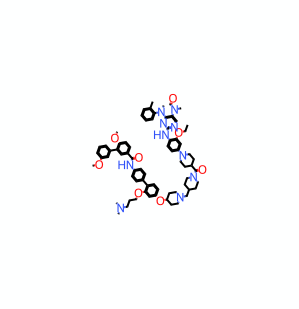 CCOc1cc(N2CCC(C(=O)N3CCC(CN4CCC(Oc5ccc(-c6ccc(NC(=O)c7ccc(OC)c(-c8cccc(OC)c8)c7)cc6)c(OCCCN(C)C)c5)CC4)CC3)CC2)ccc1Nc1ncc(N(C)C=O)c(N(C)c2ccccc2C)n1